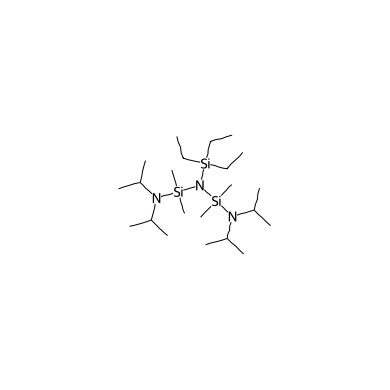 CC[Si](CC)(CC)N([Si](C)(C)N(C(C)C)C(C)C)[Si](C)(C)N(C(C)C)C(C)C